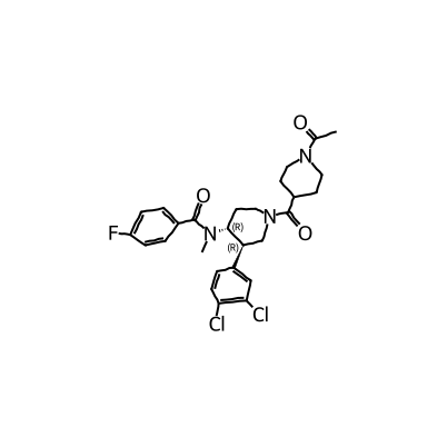 CC(=O)N1CCC(C(=O)N2CC[C@@H](N(C)C(=O)c3ccc(F)cc3)[C@H](c3ccc(Cl)c(Cl)c3)C2)CC1